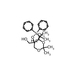 CC1OC(C)(C)OCC1(CO)O[Si](c1ccccc1)(c1ccccc1)C(C)(C)C